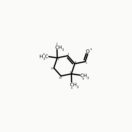 CC1(C)C=C(C=O)C(C)(C)CC1